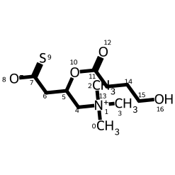 C[N+](C)(C)CC(CC([O-])=S)OC(=O)CCCO